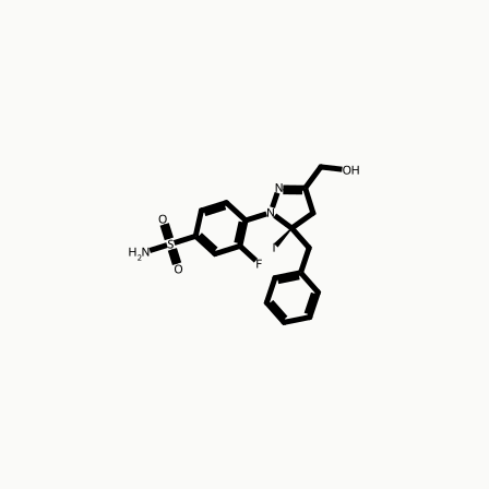 NS(=O)(=O)c1ccc(N2N=C(CO)C[C@]2(I)Cc2ccccc2)c(F)c1